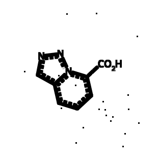 O=C(O)c1cccc2cnnn12